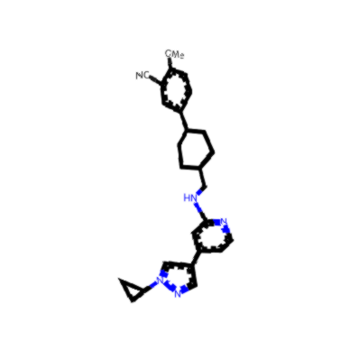 COc1ccc(C2CCC(CNc3cc(-c4cnn(C5CC5)c4)ccn3)CC2)cc1C#N